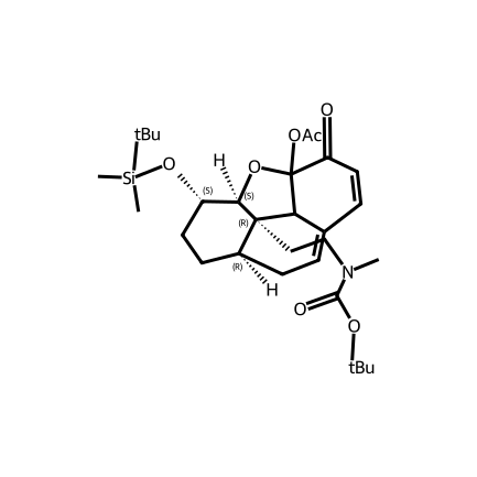 CC(=O)OC12O[C@@H]3[C@@H](O[Si](C)(C)C(C)(C)C)CC[C@@H]4CC=C(C=CC1=O)C2[C@@]43CCN(C)C(=O)OC(C)(C)C